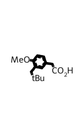 COc1ccc(CC(=O)O)cc1CC(C)(C)C